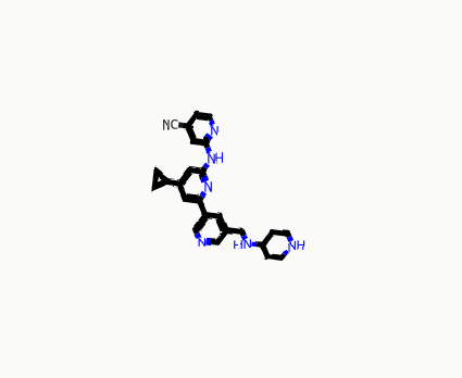 N#Cc1ccnc(Nc2cc(C3CC3)cc(-c3cncc(CNC4CCNCC4)c3)n2)c1